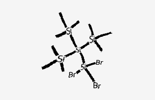 C[Si](C)(C)[Si]([Si](C)(C)C)([Si](C)(C)C)[Si](Br)(Br)Br